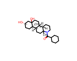 CC12CC[C@H]3[C@H](CCC4(O)C[C@@H](O)CC[C@]34C)[C@@H]1CCCN2C(=O)C1CCCCC1